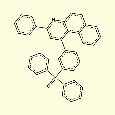 O=P(c1ccccc1)(c1ccccc1)c1cccc(-c2cc(-c3ccccc3)nc3ccc4ccccc4c23)c1